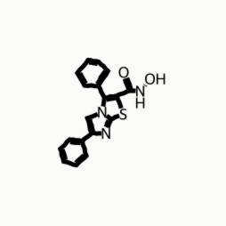 O=C(NO)c1sc2nc(-c3ccccc3)cn2c1-c1ccccc1